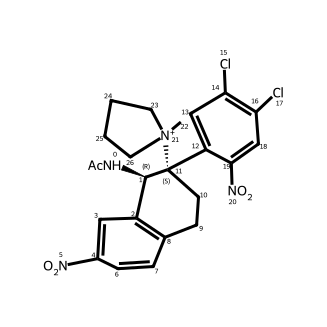 CC(=O)N[C@@H]1c2cc([N+](=O)[O-])ccc2CC[C@@]1(c1cc(Cl)c(Cl)cc1[N+](=O)[O-])[N+]1(C)CCCC1